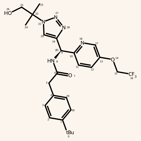 CC(C)(C)c1ccc(CC(=O)N[C@H](c2ccc(OCC(F)(F)F)cn2)c2cn(C(C)(C)CO)nn2)cc1